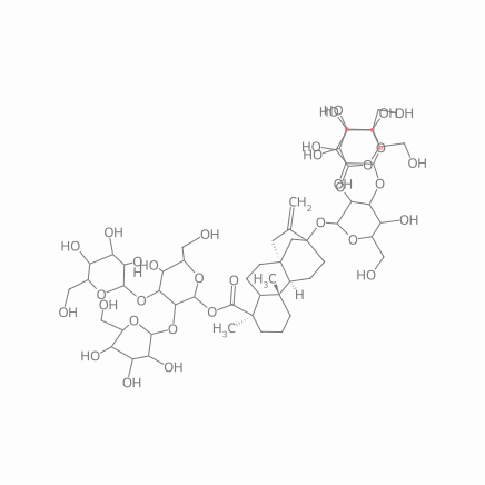 C=C1C[C@@]23CCC4[C@](C)(C(=O)OC5OC(CO)C(O)C(OC6OC(CO)C(O)C(O)C6O)C5OC5OC(CO)C(O)C(O)C5O)CCC[C@@]4(C)[C@@H]2CCC1(OC1OC(CO)C(O)C(OC2OC(CO)C(O)C(O)C2O)C1OC1OC(CO)C(O)C(O)C1O)C3